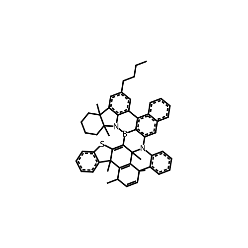 CCCCc1cc2c3c(c1)C1(C)CCCCC1(C)N3B1C3=C4Sc5ccccc5C4(C)C4=C5C(C)(C=CC4C)c4ccccc4N(c4cc6ccccc6c-2c41)C35C